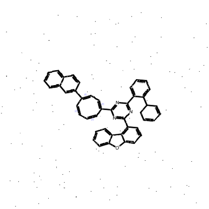 C1=CCC(c2ccccc2-c2nc(C3=C/C=C(c4ccc5ccccc5c4)\C=C/C=C\3)nc(-c3cccc4oc5ccccc5c34)n2)C=C1